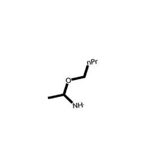 CCCCOC(C)[NH]